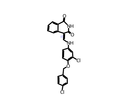 O=C1NC(=O)c2ccccc2/C1=C/Nc1ccc(OCc2ccc(Cl)cc2)c(Cl)c1